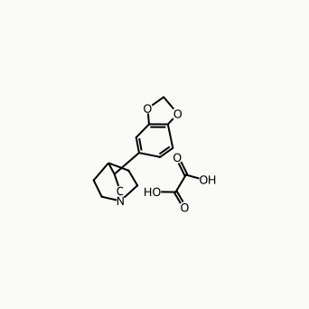 O=C(O)C(=O)O.c1cc2c(cc1C1CN3CCC1CC3)OCO2